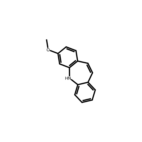 COc1ccc2c(c1)Nc1ccccc1C=C2